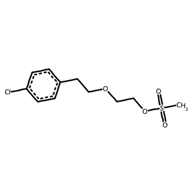 CS(=O)(=O)OCCOCCc1ccc(Cl)cc1